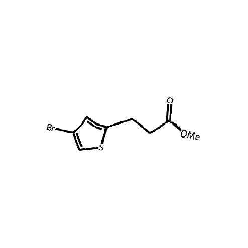 COC(=O)CCc1cc(Br)cs1